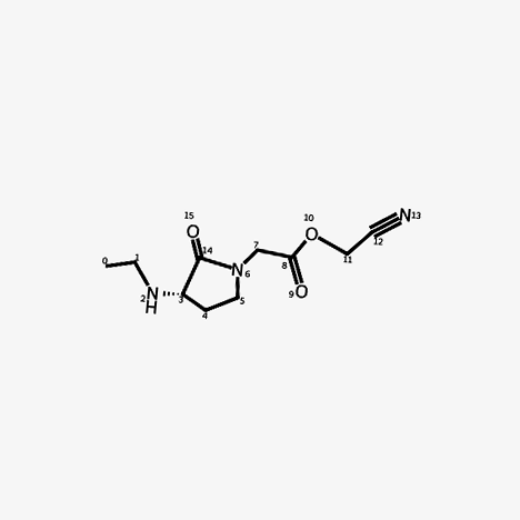 CCN[C@H]1CCN(CC(=O)OCC#N)C1=O